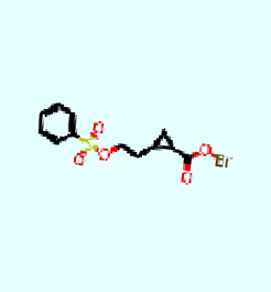 O=C(OBr)C1CC1CCOS(=O)(=O)c1ccccc1